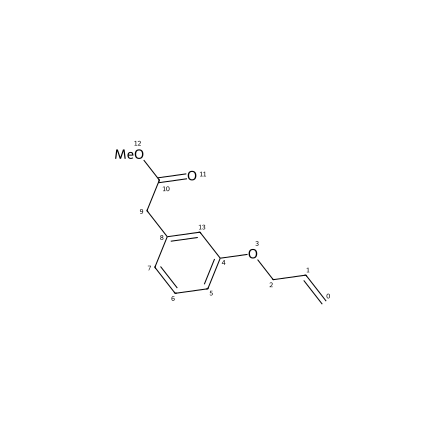 C=CCOc1cccc(CC(=O)OC)c1